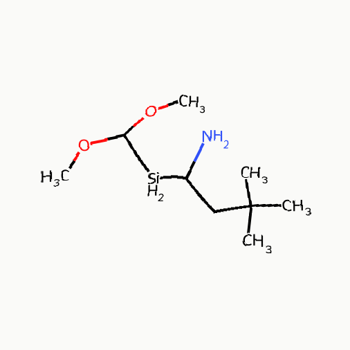 COC(OC)[SiH2]C(N)CC(C)(C)C